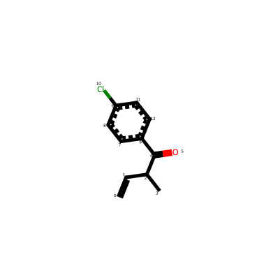 C=CC(C)C(=O)c1ccc(Cl)cc1